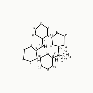 C1CCC(PC2CCCCC2)CC1.C1CCC(PC2CCCCC2)CC1.CC